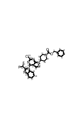 O=C(OCc1ccccc1)N1CCC(n2ncc3c(-n4c(C(F)F)nc5ccccc54)nc(Cl)nc32)CC1